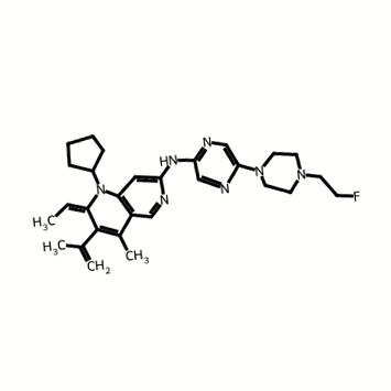 C=C(C)C1=C(C)c2cnc(Nc3cnc(N4CCN(CCF)CC4)cn3)cc2N(C2CCCC2)/C1=C/C